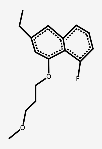 CCc1cc(OCCCOC)c2c(F)cccc2c1